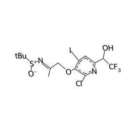 C/C(COc1c(I)cc(C(O)C(F)(F)F)nc1Cl)=N\[S+]([O-])C(C)(C)C